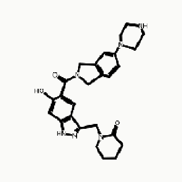 O=C1CCCCN1Cc1n[nH]c2cc(O)c(C(=O)N3Cc4ccc(N5CCNCC5)cc4C3)cc12